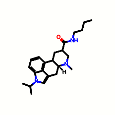 CCCCNC(=O)C1CC2c3cccc4c3c(cn4C(C)C)C[C@H]2N(C)C1